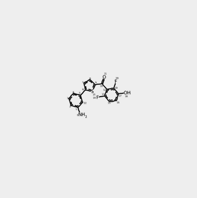 Nc1cccc(-c2ccc(C(=O)c3c(F)ccc(O)c3F)s2)c1